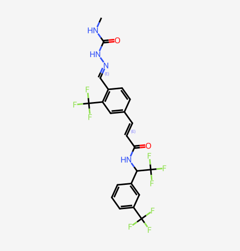 CNC(=O)N/N=C/c1ccc(/C=C/C(=O)NC(c2cccc(C(F)(F)F)c2)C(F)(F)F)cc1C(F)(F)F